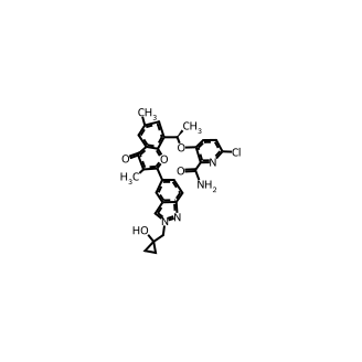 Cc1cc([C@@H](C)Oc2ccc(Cl)nc2C(N)=O)c2oc(-c3ccc4nn(CC5(O)CC5)cc4c3)c(C)c(=O)c2c1